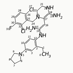 CCc1cc(N2CCCC2)ccc1N/C(N)=C/C1=C(N)NCCN1Cc1c(Cl)ccc(F)c1Cl